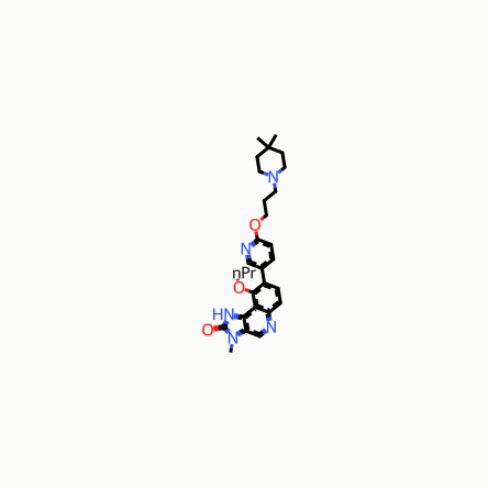 CCCOc1c(-c2ccc(OCCCN3CCC(C)(C)CC3)nc2)ccc2ncc3c([nH]c(=O)n3C)c12